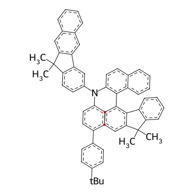 CC(C)(C)c1ccc(-c2ccc(N(c3ccc4c(c3)-c3cc5ccccc5cc3C4(C)C)c3ccc4ccccc4c3-c3cccc4c3-c3ccccc3C4(C)C)cc2)cc1